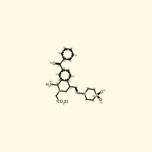 CCOC(=O)CN1CC(C=NN2CCS(=O)(=O)CC2)c2ccc(C(=O)c3ccccc3)cc2C1N